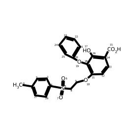 Cc1ccc(S(=O)(=O)CCOc2ccc(C(=O)O)c(O)c2Oc2ccccc2)cc1